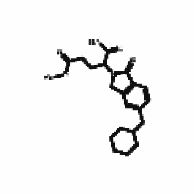 CC(C)(C)OC(=O)CCC(C(N)=O)N1Cc2cc(CC3CCCCC3)ccc2C1=O